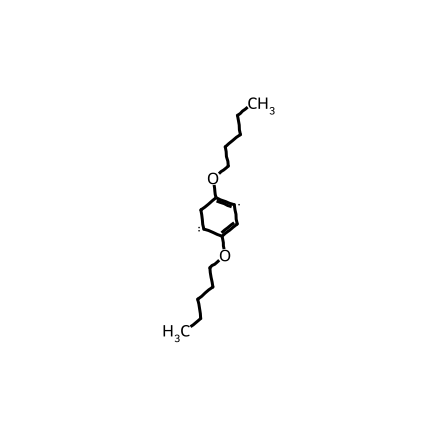 CCCCCOC1=[C]C=C(OCCCCC)[C]C1